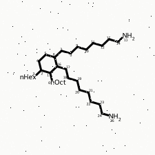 CCCCCCCCC1C(CCCCCC)CCC(CCCCCCCCN)C1CCCCCCCCN